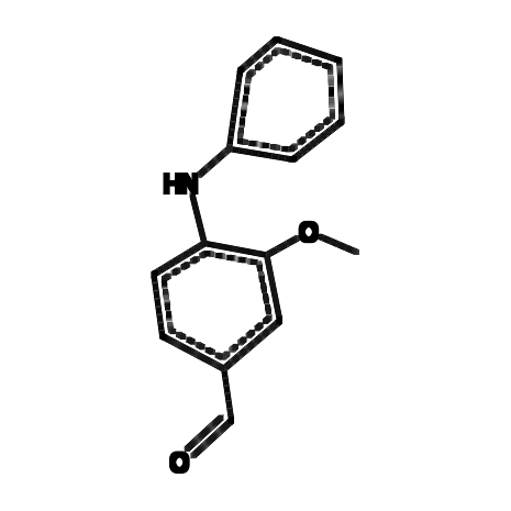 COc1cc(C=O)ccc1Nc1ccccc1